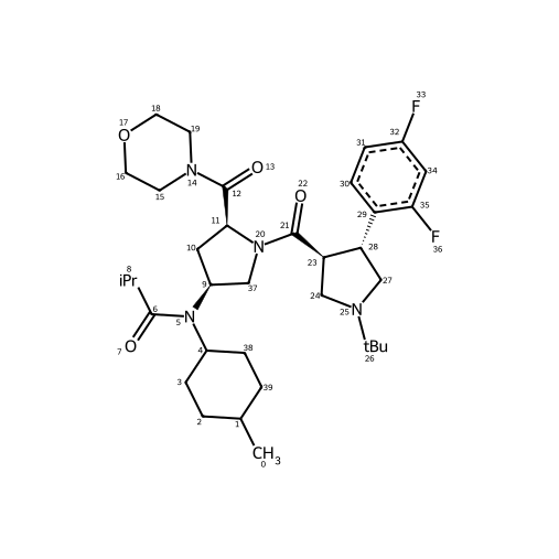 CC1CCC(N(C(=O)C(C)C)[C@H]2C[C@@H](C(=O)N3CCOCC3)N(C(=O)[C@@H]3CN(C(C)(C)C)C[C@H]3c3ccc(F)cc3F)C2)CC1